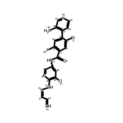 CCc1cc(C(=O)Nc2cnc(N/N=C\C=N)c(Cl)c2)c(F)cc1-c1ccncc1N